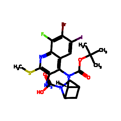 CSc1nc2c(F)c(Br)c(I)cc2c(N(C(=O)OC(C)(C)C)[C@H]2C3CC2N(C(=O)O)C3)c1N